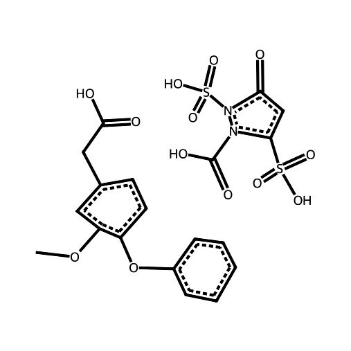 COc1cc(CC(=O)O)ccc1Oc1ccccc1.O=C(O)n1c(S(=O)(=O)O)cc(=O)n1S(=O)(=O)O